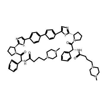 CN1CCN(CCCC(=O)N[C@@H](C(=O)N2CCC[C@H]2c2ncc(-c3ccc(-c4ccc(-c5cnc([C@@H]6CCCN6C(=O)[C@H](NC(=O)CCCN6CCN(C)CC6)c6ccccc6)s5)cc4)cc3)s2)c2ccccc2)CC1